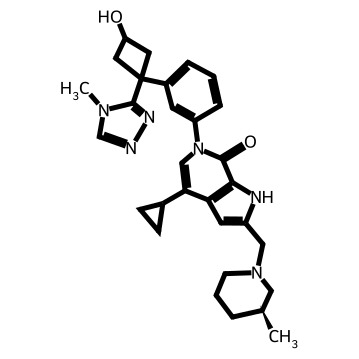 C[C@H]1CCCN(Cc2cc3c(C4CC4)cn(-c4cccc(C5(c6nncn6C)CC(O)C5)c4)c(=O)c3[nH]2)C1